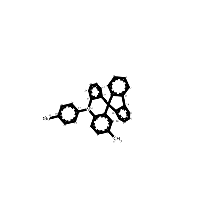 Cc1ccc2c(c1)C1(c3ccccc3-c3ccccc31)c1ccccc1N2c1ccc(C(C)(C)C)cc1